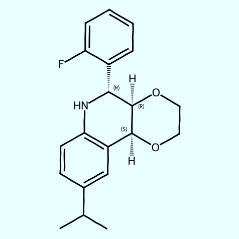 CC(C)c1ccc2c(c1)[C@@H]1OCCO[C@@H]1[C@@H](c1ccccc1F)N2